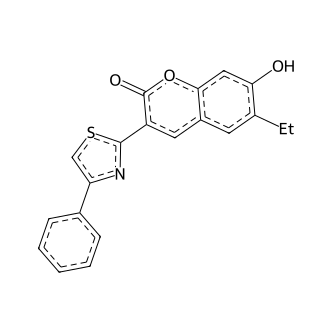 CCc1cc2cc(-c3nc(-c4ccccc4)cs3)c(=O)oc2cc1O